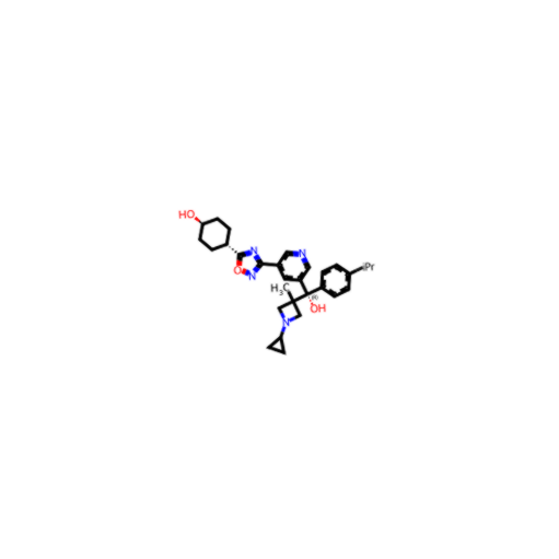 CC(C)c1ccc([C@](O)(c2cncc(-c3noc([C@H]4CC[C@H](O)CC4)n3)c2)C2(C)CN(C3CC3)C2)cc1